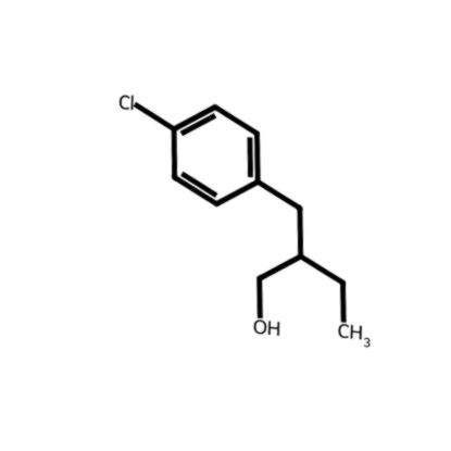 CCC(CO)Cc1ccc(Cl)cc1